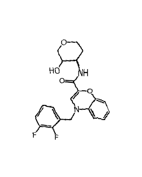 O=C(NC1CCOCC1O)C1=CN(Cc2cccc(F)c2F)c2ccccc2O1